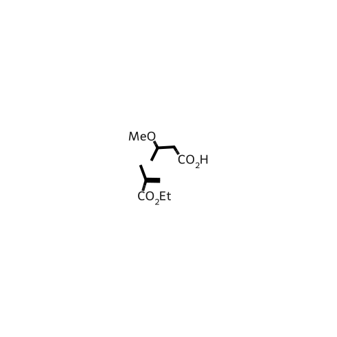 COC(C)CC(=O)O.[CH2]COC(=O)C(=C)C